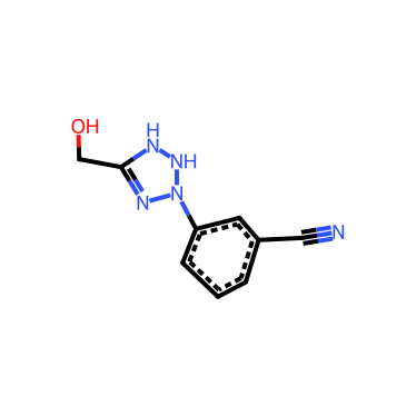 N#Cc1cccc(N2N=C(CO)NN2)c1